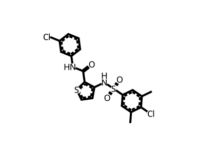 Cc1cc(S(=O)(=O)Nc2ccsc2C(=O)Nc2cccc(Cl)c2)cc(C)c1Cl